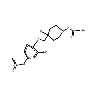 CC(C)(C)C(=O)ON1CCC(F)(COc2ccc(N[SH](=O)=O)cc2[N+](=O)[O-])CC1